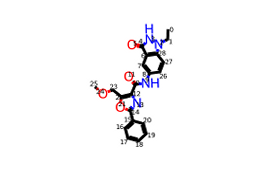 CCn1[nH]c(=O)c2cc(NC(=O)c3nc(-c4ccccc4)oc3COC)ccc21